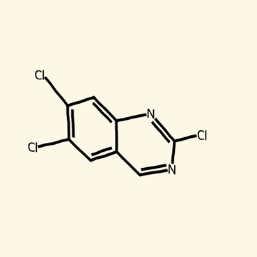 Clc1ncc2cc(Cl)c(Cl)cc2n1